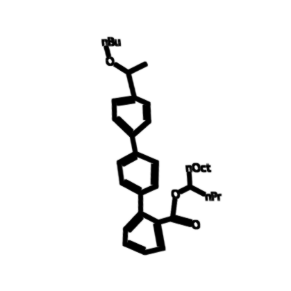 CCCCCCCCC(CCC)OC(=O)c1ccccc1-c1ccc(-c2ccc(C(C)OCCCC)cc2)cc1